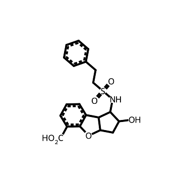 O=C(O)c1cccc2c1OC1CC(O)C(NS(=O)(=O)CCc3ccccc3)C21